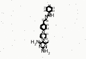 Cc1nc(N)nc(N)c1N1CCN(c2ccc(CC=NNc3ccccc3)cc2)CC1